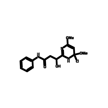 COC1=CC(Cl)(OC)NC(C(O)CC(=O)Nc2ccccc2)=N1